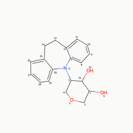 OC1COCC(N2c3ccccc3CCc3ccccc32)C1O